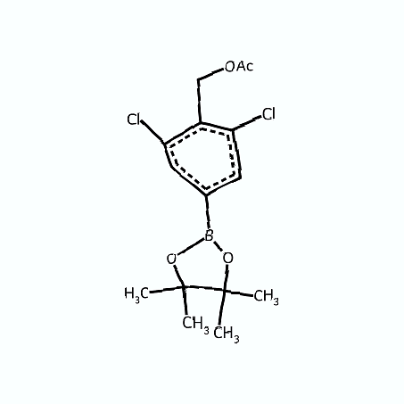 CC(=O)OCc1c(Cl)cc(B2OC(C)(C)C(C)(C)O2)cc1Cl